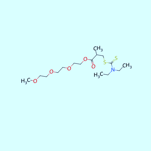 CCN(CC)C(=S)SCC(C)C(=O)OCCOCCOCCOC